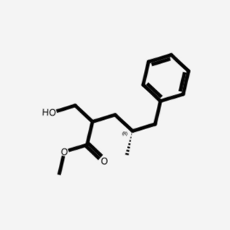 COC(=O)C(CO)C[C@@H](C)Cc1ccccc1